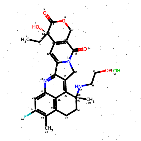 CC[C@@]1(O)C(=O)OCc2c1cc1n(c2=O)Cc2c-1nc1cc(F)c(C)c3c1c2[C@](C)(NCCO)CC3.Cl